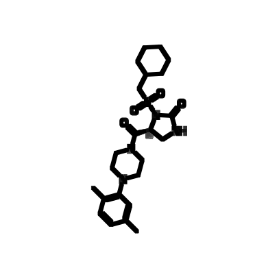 Cc1ccc(C)c(N2CCN(C(=O)[C@@H]3CNC(=O)N3S(=O)(=O)CC3CCCCC3)CC2)c1